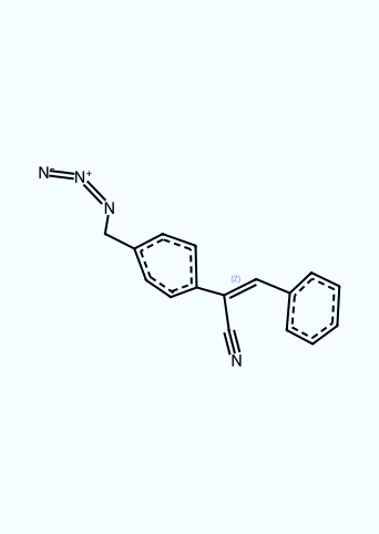 N#C/C(=C\c1ccccc1)c1ccc(CN=[N+]=[N-])cc1